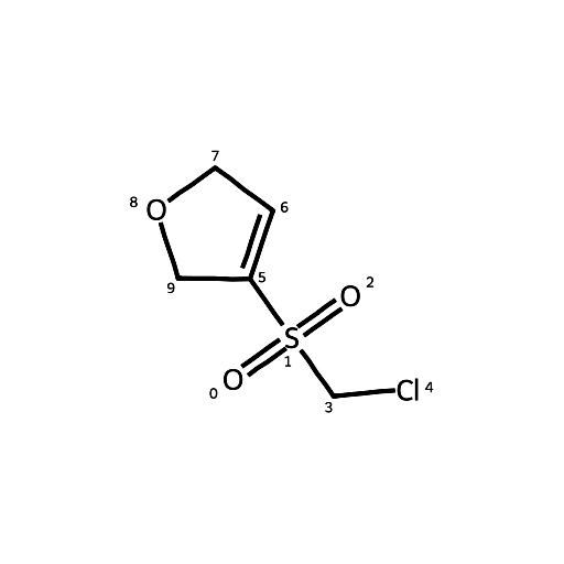 O=S(=O)(CCl)C1=CCOC1